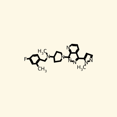 Cc1cc(F)ccc1CN(C)C1CCN(c2nnc(-c3ccnn3C)c3cccnc23)CC1